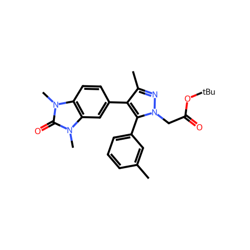 Cc1cccc(-c2c(-c3ccc4c(c3)n(C)c(=O)n4C)c(C)nn2CC(=O)OC(C)(C)C)c1